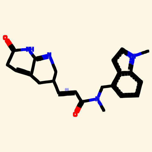 CN(Cc1cccc2c1ccn2C)C(=O)/C=C/C1CN=C2NC(=O)CC=C2C1